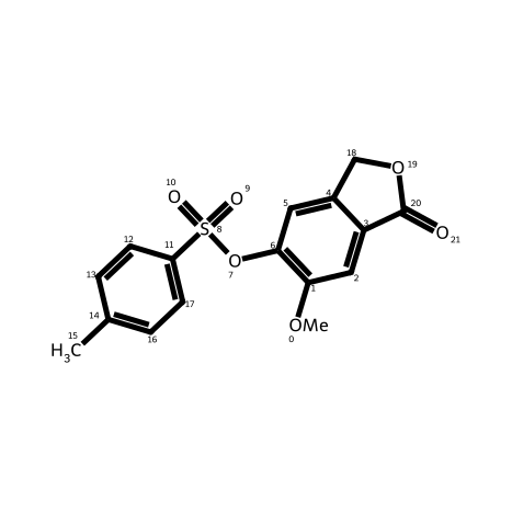 COc1cc2c(cc1OS(=O)(=O)c1ccc(C)cc1)COC2=O